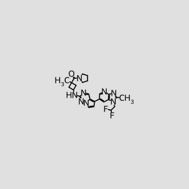 Cc1nc2ncc(-c3ccn4nc(NC5CC(C)(C(=O)N6CCCC6)C5)ncc34)cc2n1CC(F)F